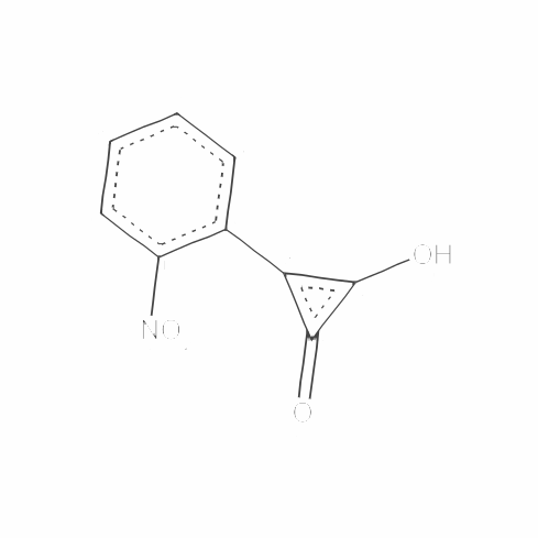 O=c1c(O)c1-c1ccccc1[N+](=O)[O-]